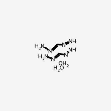 N=NC=NN.N=NC=NN.O.O